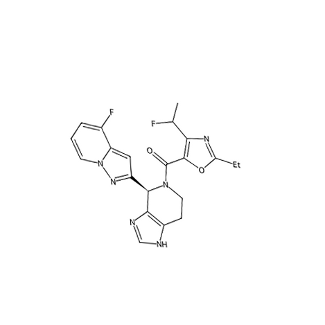 CCc1nc(C(C)F)c(C(=O)N2CCc3[nH]cnc3[C@H]2c2cc3c(F)cccn3n2)o1